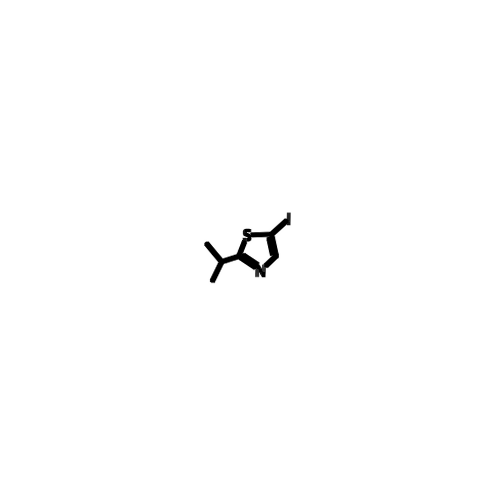 CC(C)c1ncc(I)s1